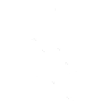 NC/C=C(\CN)C(=O)N1CCN(CC2=C(c3ccc(Cl)cc3)NC3C=CC(C4CC4)=CN23)CC1